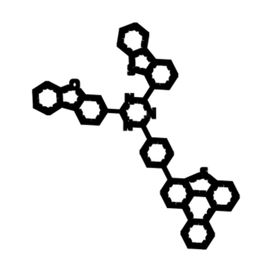 c1ccc2c(c1)oc1cc(-c3nc(-c4ccc(-c5ccc6c7ccccc7c7cccc8sc5c6c87)cc4)nc(-c4cccc5c4sc4ccccc45)n3)ccc12